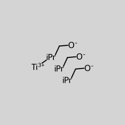 CC(C)C[O-].CC(C)C[O-].CC(C)C[O-].[CH3][Ti+3]